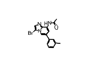 CC(=O)Nc1cc(-c2cccc(C)c2)cn2c(Br)cnc12